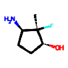 C[C@@]1(F)[C@H](N)CC[C@H]1O